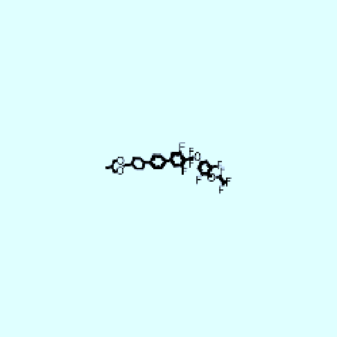 CC1COC(C2CCC(c3ccc(-c4cc(F)c(C(F)(F)Oc5cc(F)c(OC(F)=C(F)F)c(F)c5)c(F)c4)cc3)CC2)OC1